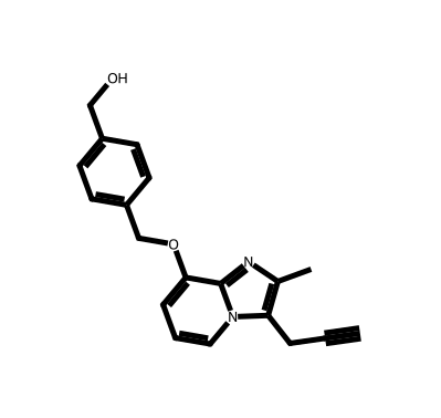 C#CCc1c(C)nc2c(OCc3ccc(CO)cc3)cccn12